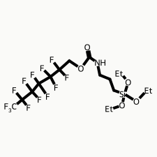 CCO[Si](CCCNC(=O)OCC(F)(F)C(F)(F)C(F)(F)C(F)(F)C(F)(F)C(F)(F)F)(OCC)OCC